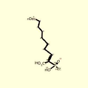 CCCCCCCCCCCCCCCC/C=C(\C(=O)O)P(=O)(O)CC